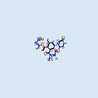 C=C(O/C(C)=N\[C@H](C)CC)c1c(C)cccc1C(=O)N(CC)[C@@H](C)COc1ccc(Cl)cn1